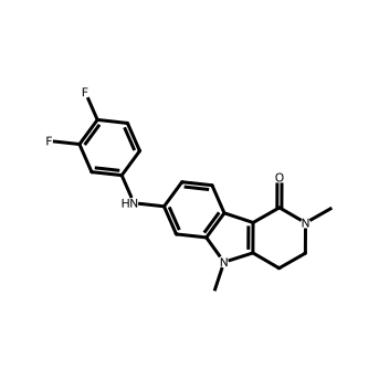 CN1CCc2c(c3ccc(Nc4ccc(F)c(F)c4)cc3n2C)C1=O